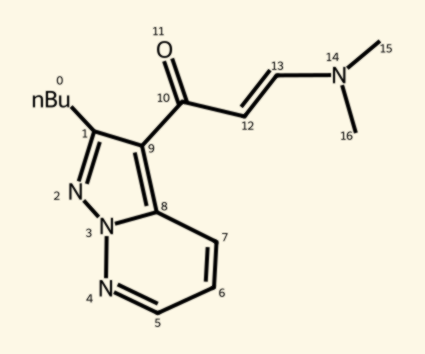 CCCCc1nn2ncccc2c1C(=O)C=CN(C)C